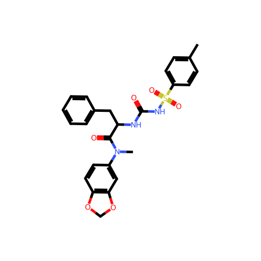 Cc1ccc(S(=O)(=O)NC(=O)NC(Cc2ccccc2)C(=O)N(C)c2ccc3c(c2)OCO3)cc1